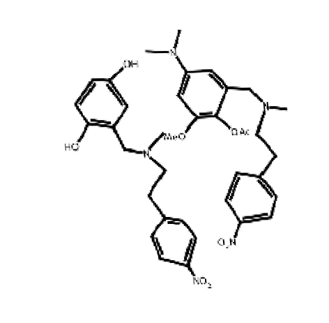 CN(CCc1ccc([N+](=O)[O-])cc1)Cc1cc(O)ccc1O.COc1cc(N(C)C)cc(CN(C)CCc2ccc([N+](=O)[O-])cc2)c1OC(C)=O